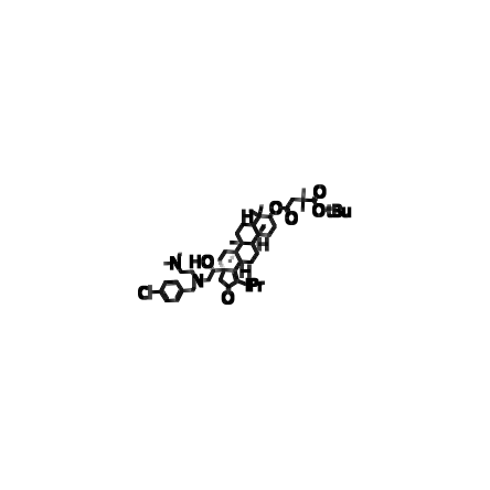 CC(C)C1=C2[C@H]3CC[C@@H]4[C@@]5(C)CC[C@H](OC(=O)CC(C)(C)C(=O)OC(C)(C)C)C(C)(C)[C@H]5CC[C@@]4(C)[C@]3(C)CC[C@@]2([C@@H](O)CN(CCN(C)C)Cc2ccc(Cl)cc2)CC1=O